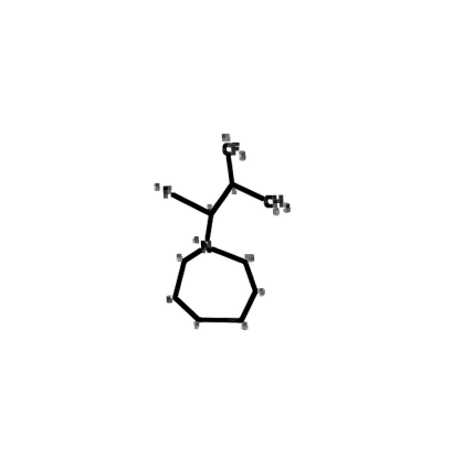 CC(C(F)N1CCCCCC1)C(F)(F)F